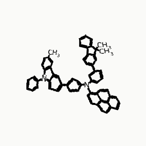 Cc1ccc2c(c1)c1cc(-c3ccc(N(c4cccc(-c5ccc6c(c5)C(C)(C)c5ccccc5-6)c4)c4ccc5ccc6cccc7ccc4c5c67)cc3)ccc1n2-c1ccccc1